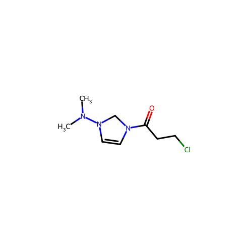 CN(C)N1C=CN(C(=O)CCCl)C1